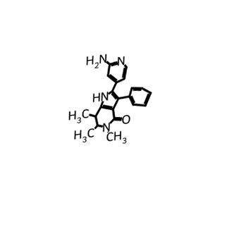 CC1c2[nH]c(-c3ccnc(N)c3)c(-c3ccccc3)c2C(=O)N(C)C1C